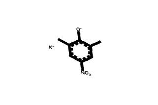 Cc1cc([N+](=O)[O-])cc(C)c1[O-].[K+]